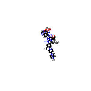 CCc1cc(Nc2nc(Nc3ccc4nccnc4c3N(C)S(C)(=O)=O)c3occc3n2)c(OC)cc1N1CCC(N2CCN(C)CC2)CC1